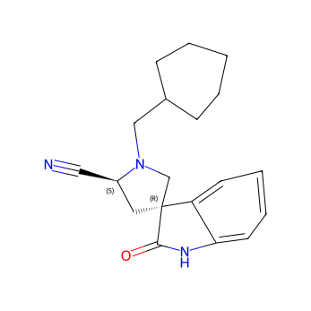 N#C[C@@H]1C[C@@]2(CN1CC1CCCCC1)C(=O)Nc1ccccc12